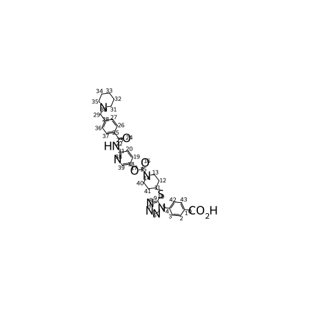 O=C(O)c1ccc(-n2nnnc2SC2CCN(C(=O)Oc3ccc(NC(=O)c4ccc(CN5CCCCC5)cc4)nc3)CC2)cc1